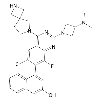 CN(C)C1CN(c2nc(N3CCC4(CNC4)C3)c3cc(Cl)c(-c4cc(O)cc5ccccc45)c(F)c3n2)C1